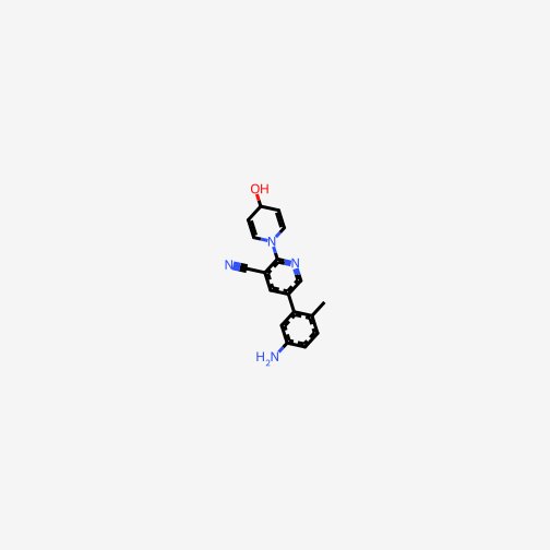 Cc1ccc(N)cc1-c1cnc(N2C=CC(O)C=C2)c(C#N)c1